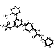 C[C@H]1COCCN1c1cc(CS(C)(=O)=O)nc(-c2ccc(NC(=O)NCc3ccccn3)cc2)n1